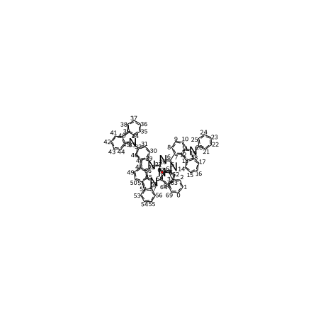 c1ccc(-c2nc(-c3cccc4c3c3ccccc3n4-c3ccccc3)nc(-n3c4ccc(-n5c6ccccc6c6ccccc65)cc4c4ccc5c6ccccc6n(-c6ccccc6)c5c43)n2)cc1